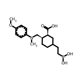 COc1ccc(N(C)C[C@@H]2CCC(CCB(O)O)C[C@@H]2C(=O)O)cc1